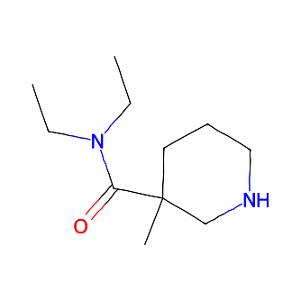 CCN(CC)C(=O)C1(C)CCCNC1